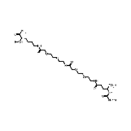 CCCCCC(=O)NC(CCC(=O)NCCOCCOCC(=O)NCCOCCOCC(=O)NCCCC[C@H](NI)C(=O)P)C(=O)O